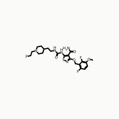 COc1ccc(F)c(COc2nsc(NC(=O)NCCC3CCN(CCF)CC3)c2C(N)=O)c1F